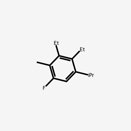 CCc1c(C(C)C)cc(F)c(C)c1CC